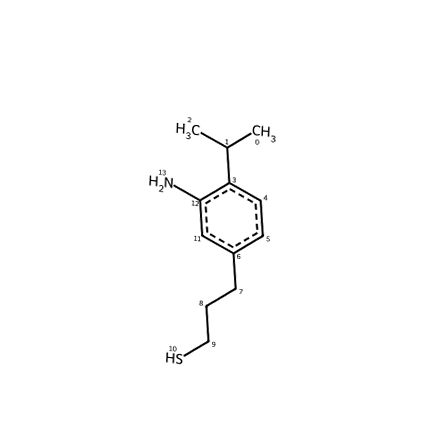 CC(C)c1ccc(CCCS)cc1N